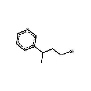 CC(CCS)c1cccnc1